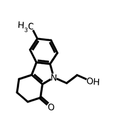 Cc1ccc2c(c1)c1c(n2CCO)C(=O)CCC1